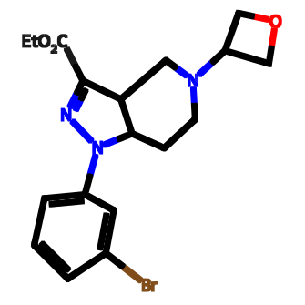 CCOC(=O)C1=NN(c2cccc(Br)c2)C2CCN(C3COC3)CC12